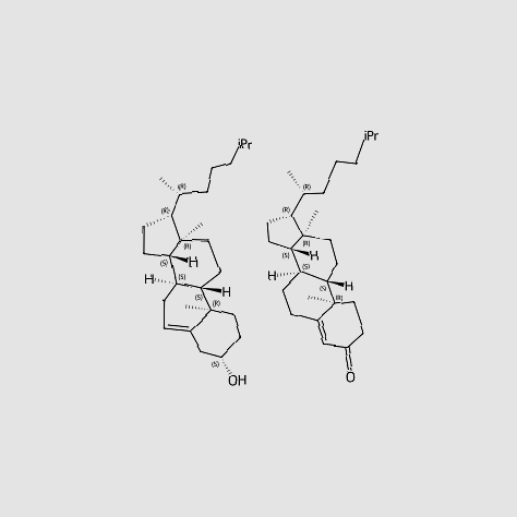 CC(C)CCC[C@@H](C)[C@H]1CC[C@H]2[C@@H]3CC=C4C[C@@H](O)CC[C@]4(C)[C@H]3CC[C@]12C.CC(C)CCC[C@@H](C)[C@H]1CC[C@H]2[C@@H]3CCC4=CC(=O)CC[C@]4(C)[C@H]3CC[C@]12C